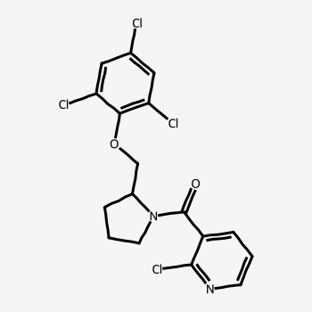 O=C(c1cccnc1Cl)N1CCCC1COc1c(Cl)cc(Cl)cc1Cl